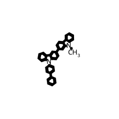 CCn1c2ccccc2c2ccc(-c3ccc4c(c3)c3ccccc3n4-c3ccc(-c4ccccc4)cc3)cc21